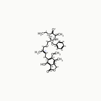 CCOC(=O)C(C)NP(=O)(COC/C(C)=C/Cc1c(O)c2c(c(C)c1OC)COC2=O)Oc1ccccc1